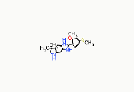 COc1cc(SC)ccc1C1Nc2cc3c(cc2N1)C(C)(C)CN3